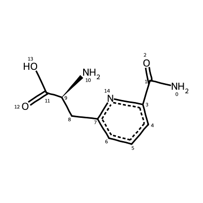 NC(=O)c1cccc(C[C@H](N)C(=O)O)n1